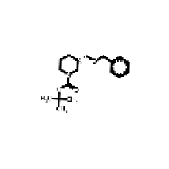 CC(C)(C)OC(=O)N1CCC[C@H](COCc2ccccc2)C1